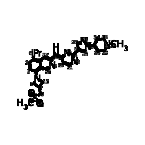 CC(C)c1ccc(N2CC(CS(C)(=O)=O)C2)c2cnc(Nc3ccnc(-c4cnn(C5CCN(C)CC5)c4)n3)cc12